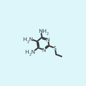 CCSc1nc(N)c(N)c(N)n1